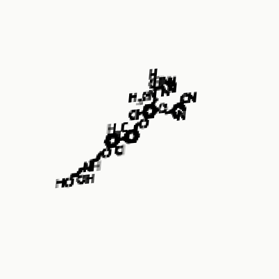 Cc1c(COc2cc(OCc3cncc(C#N)c3)c(CN(C)C(C)c3nnn[nH]3)cc2Cl)cccc1-c1cccc(OCCCNCC(O)CO)c1Cl